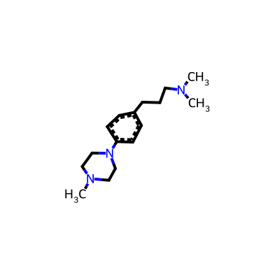 CN(C)CCCc1ccc(N2CCN(C)CC2)cc1